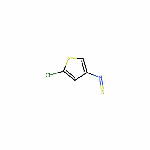 S=Nc1csc(Cl)c1